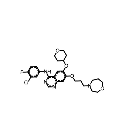 Fc1ccc(Nc2ncnc3cc(OCCCN4CCCOCC4)c(OC4CCOCC4)cc23)cc1Cl